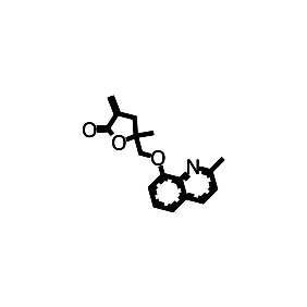 C=C1CC(C)(COc2cccc3ccc(C)nc23)OC1=O